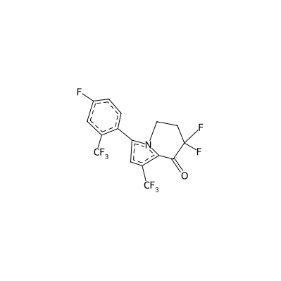 O=C1c2c(C(F)(F)F)cc(-c3ccc(F)cc3C(F)(F)F)n2CCC1(F)F